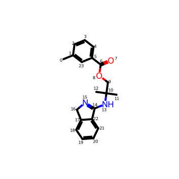 Cc1cccc(C(=O)OCC(C)(C)NC2=NCc3ccccc32)c1